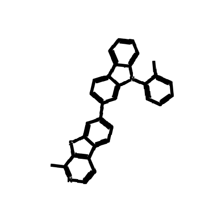 Cc1ccccc1-n1c2ccccc2c2ccc(-c3ccc4c(c3)sc3c(C)nccc34)cc21